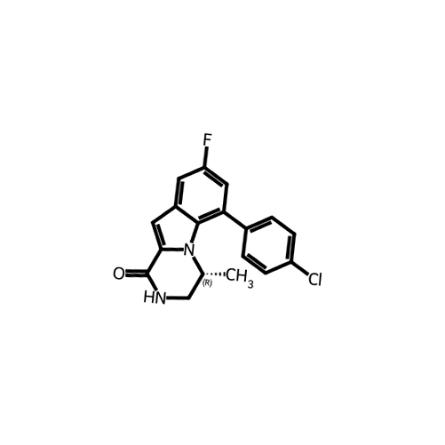 C[C@@H]1CNC(=O)c2cc3cc(F)cc(-c4ccc(Cl)cc4)c3n21